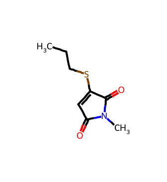 CCCSC1=CC(=O)N(C)C1=O